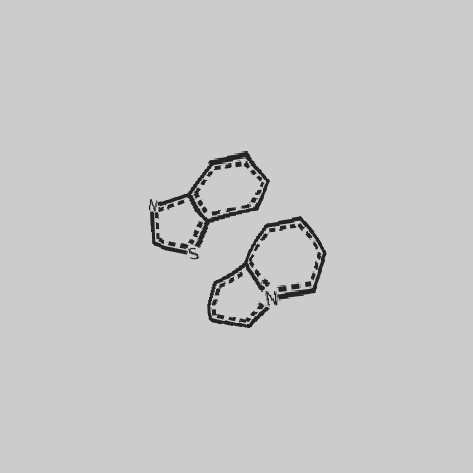 c1ccc2scnc2c1.c1ccn2cccc2c1